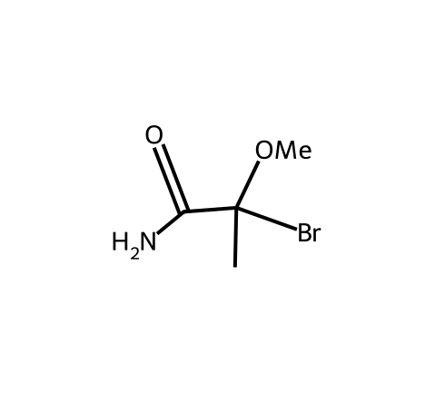 COC(C)(Br)C(N)=O